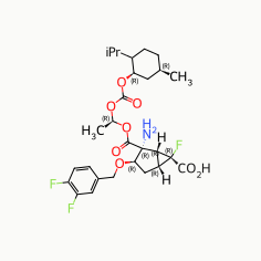 CC(C)C1CC[C@@H](C)C[C@H]1OC(=O)O[C@H](C)OC(=O)[C@@]1(N)[C@H]2[C@@H](C[C@H]1OCc1ccc(F)c(F)c1)[C@]2(F)C(=O)O